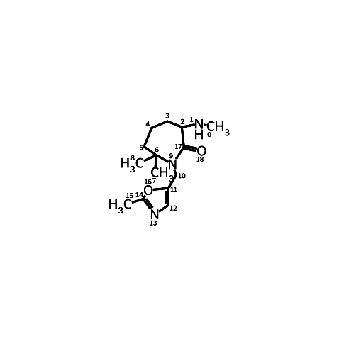 CNC1CCCC(C)(C)N(Cc2cnc(C)o2)C1=O